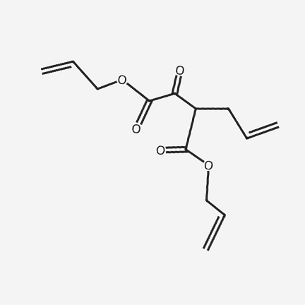 C=CCOC(=O)C(=O)C(CC=C)C(=O)OCC=C